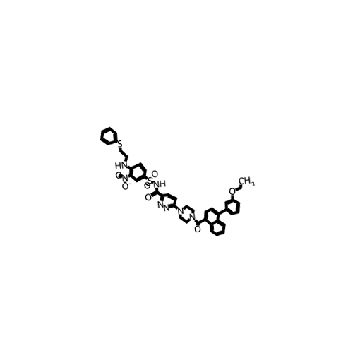 CCOc1cccc(-c2ccc(C(=O)N3CCN(c4ccc(C(=O)NS(=O)(=O)c5ccc(NCCSc6ccccc6)c([N+](=O)[O-])c5)nn4)CC3)c3ccccc23)c1